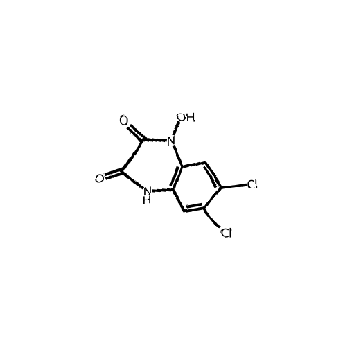 O=c1[nH]c2cc(Cl)c(Cl)cc2n(O)c1=O